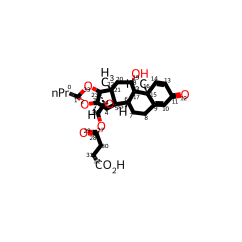 CCCC1O[C@@H]2CC3[C@@H]4CCC5=CC(=O)C=C[C@]5(C)C4[C@@H](O)C[C@]3(C)[C@]2(C(=O)COC(=O)CCC(=O)O)O1